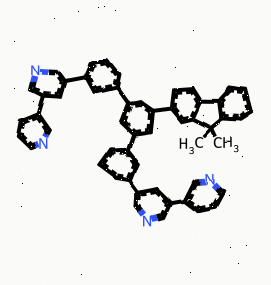 CC1(C)c2ccccc2-c2ccc(-c3cc(-c4cccc(-c5cncc(-c6cccnc6)c5)c4)cc(-c4cccc(-c5cncc(-c6cccnc6)c5)c4)c3)cc21